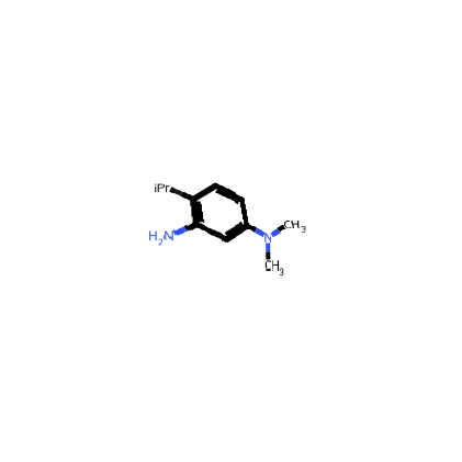 CC(C)c1ccc(N(C)C)cc1N